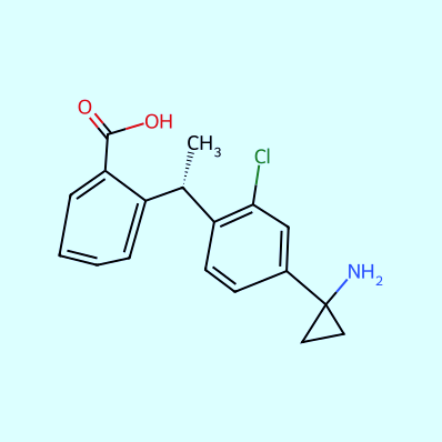 C[C@H](c1ccc(C2(N)CC2)cc1Cl)c1ccccc1C(=O)O